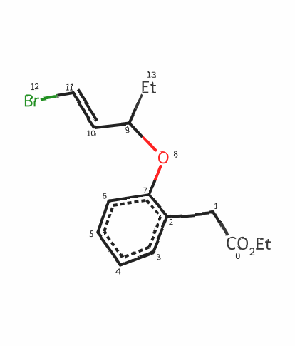 CCOC(=O)Cc1ccccc1OC(/C=C/Br)CC